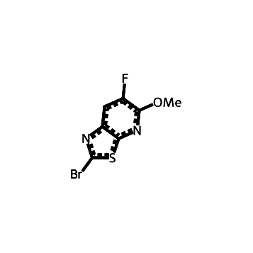 COc1nc2sc(Br)nc2cc1F